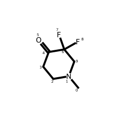 CN1CCC(=O)C(F)(F)C1